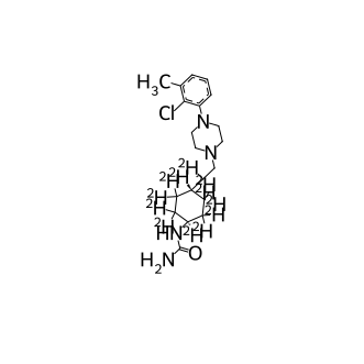 [2H]C1([2H])C([2H])([2H])[C@]([2H])(C([2H])([2H])CN2CCN(c3cccc(C)c3Cl)CC2)C([2H])([2H])C([2H])([2H])[C@@]1([2H])NC(N)=O